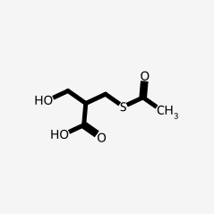 CC(=O)SCC(CO)C(=O)O